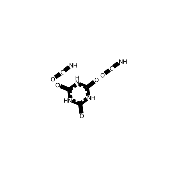 N=C=O.N=C=O.O=c1[nH]c(=O)[nH]c(=O)[nH]1